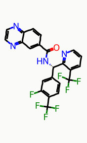 O=C(N[C@@H](c1ccc(C(F)(F)F)c(F)c1)c1ncccc1C(F)(F)F)c1ccc2nccnc2c1